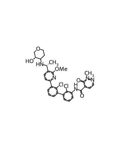 COc1nc(-c2cccc(-c3cccc(NC(=O)c4ccnn(C)c4=O)c3Cl)c2Cl)ccc1[C@@H](C)NC1CCOC[C@@H]1O